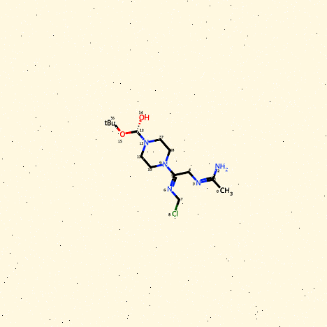 C/C(N)=N/C/C(=N\CCl)N1CCN([C@@H](O)OC(C)(C)C)CC1